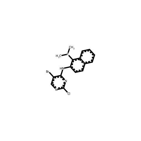 CP(C)c1c(Nc2nc(Cl)ncc2Br)ccc2ccccc12